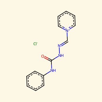 O=C(NN=C[n+]1ccccc1)Nc1ccccc1.[Cl-]